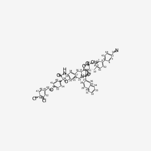 N#Cc1ccc(-c2ccc(C[C@H](NC(=O)C3Cc4cc5c(cc4CN3C(=O)c3ccc4ccccc4c3)O[C@@H](c3ccc(OCc4ccc(Cl)c(Cl)c4)cc3)C(=O)N5)C(=O)O)cc2)cc1